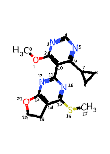 COc1ncnc(C2CC2)c1-c1nc2c(c(SC)n1)CCO2